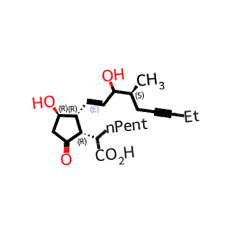 CCC#CC[C@H](C)C(O)/C=C/[C@H]1[C@H](O)CC(=O)[C@H]1C(CCCCC)C(=O)O